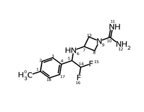 Cc1ccc(C(NC2CN(C(=N)N)C2)C(F)F)cc1